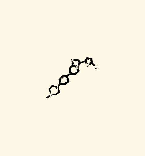 CN1CCN(c2ccc(-c3ccn4c(-c5ccc(Cl)s5)cnc4c3)cc2)CC1